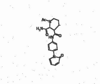 CC(=O)N1CC[CH]C(C(=O)Nc2ccc(-n3ccccc3=O)cc2)C1C(N)=O